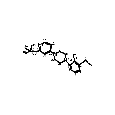 CCc1cccc(N2CCN(c3ccnc(OC(C)(C)C)c3)CC2)c1F